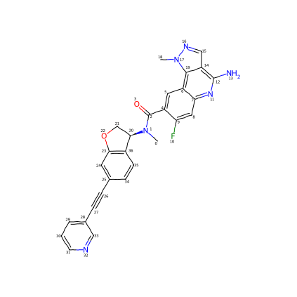 CN(C(=O)c1cc2c(cc1F)nc(N)c1cnn(C)c12)[C@@H]1COc2cc(C#Cc3cccnc3)ccc21